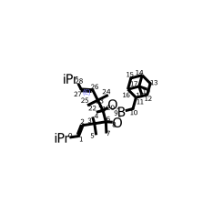 CC(C)C=CC(C)(C)C1(C)OB(CC2CCC3CC2C3(C)C)OC1(C)C(C)(C)/C=C/C(C)C